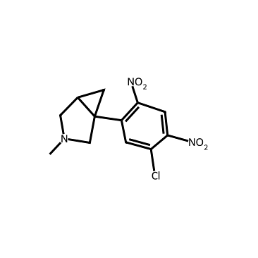 CN1CC2CC2(c2cc(Cl)c([N+](=O)[O-])cc2[N+](=O)[O-])C1